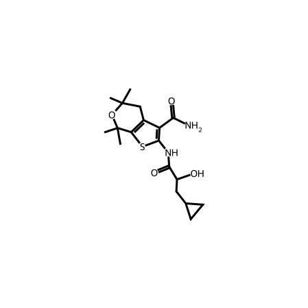 CC1(C)Cc2c(sc(NC(=O)C(O)CC3CC3)c2C(N)=O)C(C)(C)O1